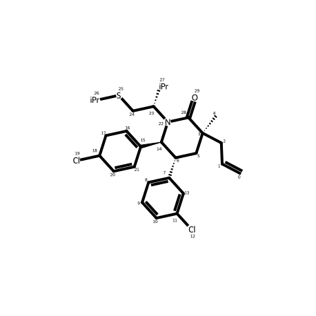 C=CC[C@@]1(C)C[C@H](c2cccc(Cl)c2)[C@@H](C2=CCC(Cl)C=C2)N([C@H](CSC(C)C)C(C)C)C1=O